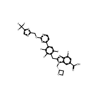 O=C(O)c1cc(F)c2nc(Cc3c(F)cc(-c4ccnc(OCc5ncc(C(F)(F)F)s5)n4)c(F)c3F)n(C[C@@H]3CCO3)c2c1